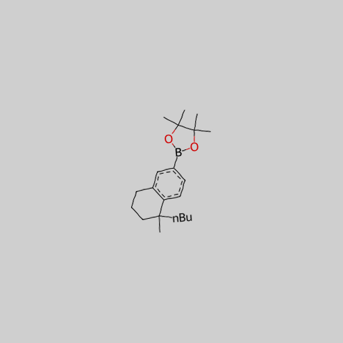 CCCCC1(C)CCCc2cc(B3OC(C)(C)C(C)(C)O3)ccc21